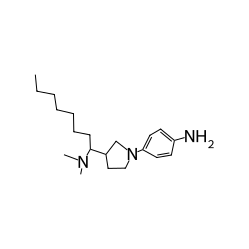 CCCCCCCC(C1CCN(c2ccc(N)cc2)C1)N(C)C